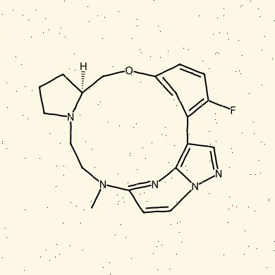 CN1CCN2CCC[C@H]2COc2ccc(F)c(c2)-c2cnn3ccc1nc23